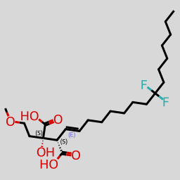 CCCCCCCC(F)(F)CCCCCC/C=C/[C@H](C(=O)O)[C@@](O)(CCOC)C(=O)O